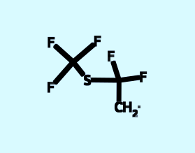 [CH2]C(F)(F)SC(F)(F)F